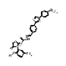 Cc1ccc(OC(C)C)c(N2C(=O)CS/C2=N\C(=S)N/N=C/c2ccc(-c3ncn(-c4ccc(OC(F)(F)F)cc4)n3)cc2)c1